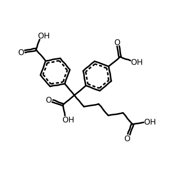 O=C(O)CCCCC(C(=O)O)(c1ccc(C(=O)O)cc1)c1ccc(C(=O)O)cc1